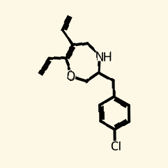 C=CC1=C(C=C)OCC(Cc2ccc(Cl)cc2)NC1